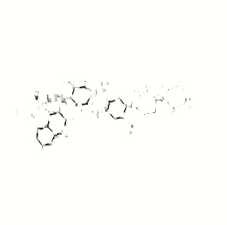 CCc1cc(Nc2ncc(Br)c(Nc3cnc4ccccc4c3P(C)(C)=O)n2)c(OC)cc1N1CCC(N2CCOCC2)CC1